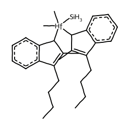 CCCCC1=C(C)[CH]([Hf]([CH3])([CH3])([SiH3])[CH]2C(C)=C(CCCC)c3ccccc32)c2ccccc21